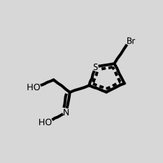 OCC(=NO)c1ccc(Br)s1